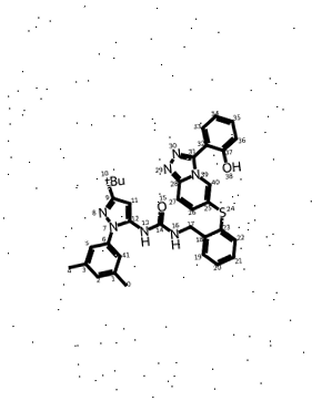 Cc1cc(C)cc(-n2nc(C(C)(C)C)cc2NC(=O)NCc2ccccc2Sc2ccc3nnc(-c4ccccc4O)n3c2)c1